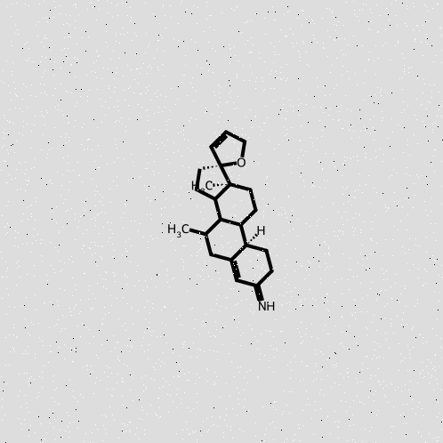 CC1CC2=CC(=N)CC[C@@H]2C2CC[C@@]3(C)C(CC[C@@]34C=CCO4)C12